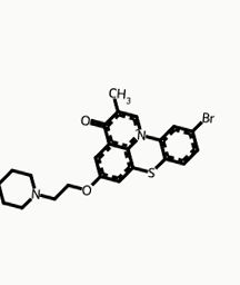 Cc1cn2c3c(cc(OCCN4CCCCC4)cc3c1=O)Sc1ccc(Br)cc1-2